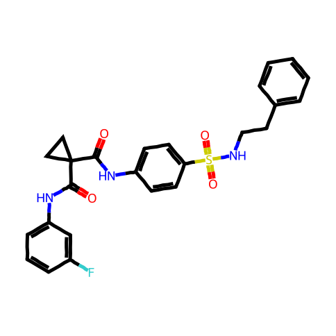 O=C(Nc1ccc(S(=O)(=O)NCCc2ccccc2)cc1)C1(C(=O)Nc2cccc(F)c2)CC1